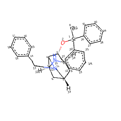 CC(C)(C)[Si](O[C@H]1C2[C@@H]3C[C@@H](C[C@H]1N3)CN2Cc1ccccc1)(c1ccccc1)c1ccccc1